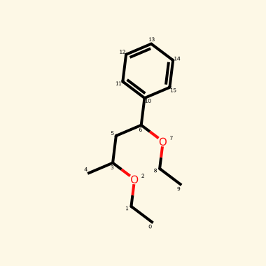 CCOC(C)CC(OCC)c1ccccc1